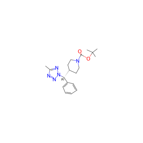 Cc1nnn([C@@H](c2ccccc2)C2CCN(C(=O)OC(C)(C)C)CC2)n1